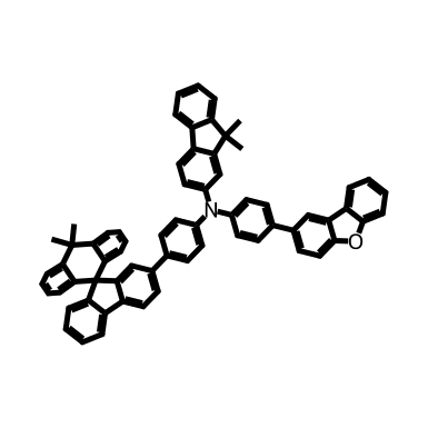 CC1(C)c2ccccc2-c2ccc(N(c3ccc(-c4ccc5c(c4)C4(c6ccccc6-5)c5ccccc5C(C)(C)c5ccccc54)cc3)c3ccc(-c4ccc5oc6ccccc6c5c4)cc3)cc21